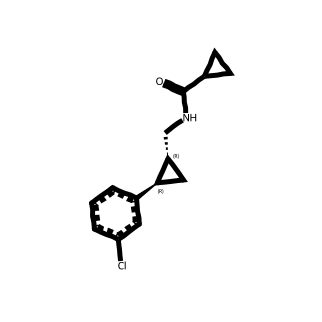 O=C(NC[C@@H]1C[C@H]1c1cccc(Cl)c1)C1CC1